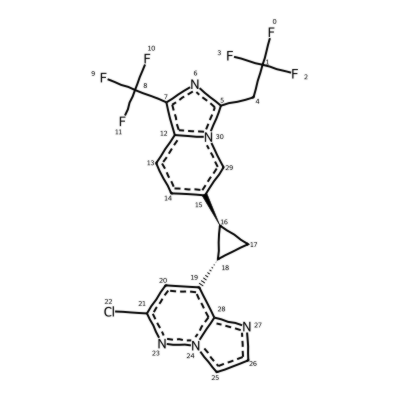 FC(F)(F)Cc1nc(C(F)(F)F)c2ccc([C@H]3C[C@@H]3c3cc(Cl)nn4ccnc34)cn12